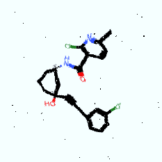 Cc1ccc(C(=O)N[C@H]2CCC[C@@](O)(C#Cc3cccc(Cl)c3)C2)c(Cl)n1